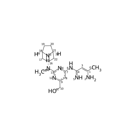 C/C(N)=C/C(=N)Nc1cc(CO)nc(N(C)[C@@H]2C[C@H]3CC[C@@H](C2)N3)n1